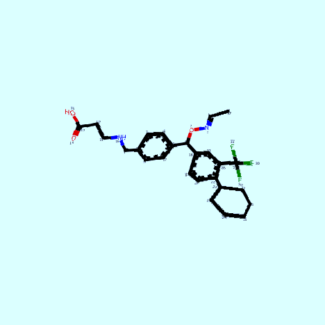 C/C=N/OC(c1ccc(CNCCC(=O)O)cc1)c1ccc(C2CCCCC2)c(C(F)(F)F)c1